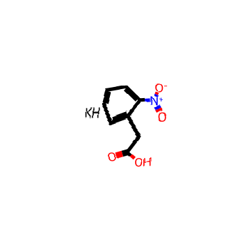 O=C(O)Cc1ccccc1[N+](=O)[O-].[KH]